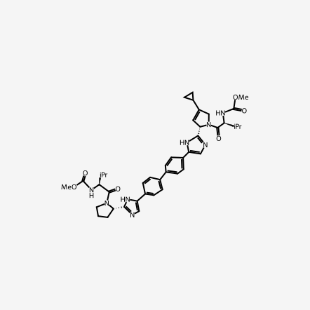 COC(=O)N[C@H](C(=O)N1CC(C2CC2)=C[C@H]1c1ncc(-c2ccc(-c3ccc(-c4cnc([C@@H]5CCCN5C(=O)[C@@H](NC(=O)OC)C(C)C)[nH]4)cc3)cc2)[nH]1)C(C)C